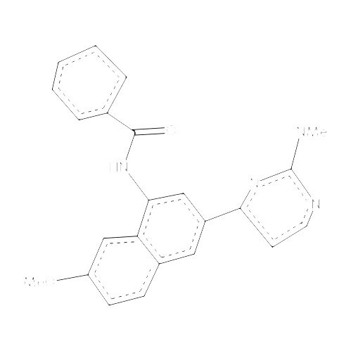 CNc1nccc(-c2cc(NC(=O)c3ccccc3)c3cc(OC)ccc3c2)n1